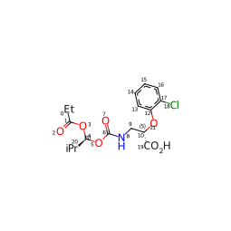 CCC(=O)O[C@@H](OC(=O)NC[C@H](Oc1ccccc1Cl)C(=O)O)C(C)C